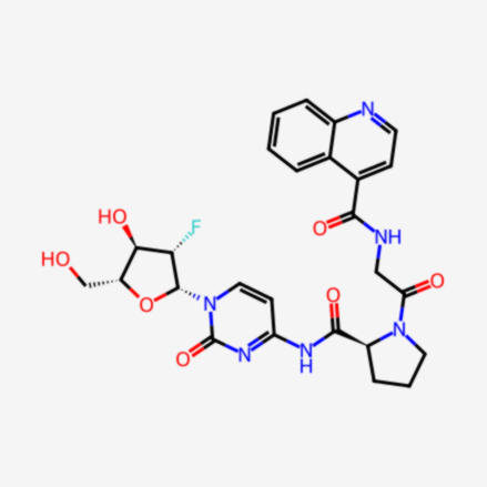 O=C(NCC(=O)N1CCC[C@H]1C(=O)Nc1ccn([C@@H]2O[C@H](CO)[C@@H](O)[C@@H]2F)c(=O)n1)c1ccnc2ccccc12